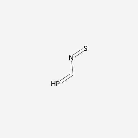 P=CN=S